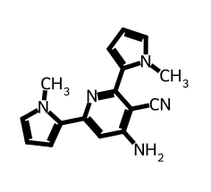 Cn1cccc1-c1cc(N)c(C#N)c(-c2cccn2C)n1